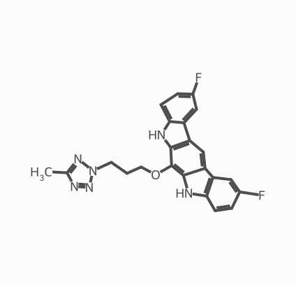 Cc1nnn(CCCOc2c3[nH]c4ccc(F)cc4c3cc3c2[nH]c2ccc(F)cc23)n1